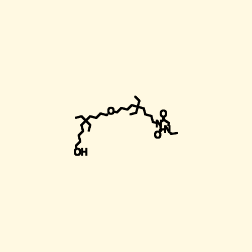 CCN1CC(=O)N(CCCCC(CC)(CC)CCCCOCCCCC(CC)(CC)CCCCCO)C1=O